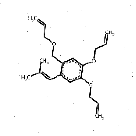 C=CCOCc1cc(OCC=C)c(OCC=C)cc1C=C(C)C